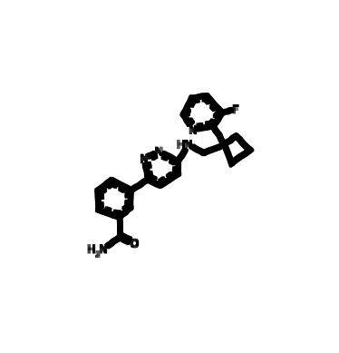 NC(=O)c1cccc(-c2ccc(NCC3(c4ncccc4F)CCC3)nn2)c1